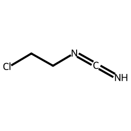 N=C=NCCCl